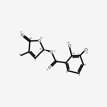 CC1=C[C@H](OC(=O)c2cccc(Cl)c2Cl)OC1=O